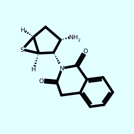 N[C@H]1C[C@@H]2S[C@@H]2[C@H]1N1C(=O)Cc2ccccc2C1=O